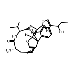 CCC(O)c1coc(-c2nc3oc2C24c5ccccc5N[C@H]2Oc2ccc(cc24)C[C@H](N)C(=O)N[C@H]3C(C)C)n1